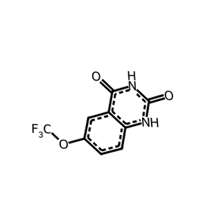 O=c1[nH]c(=O)c2cc(OC(F)(F)F)ccc2[nH]1